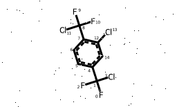 FC(F)(Cl)c1ccc(C(F)(F)Cl)c(Cl)c1